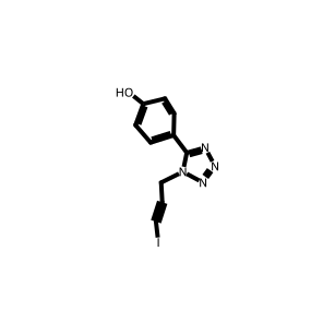 Oc1ccc(-c2nnnn2CC#CI)cc1